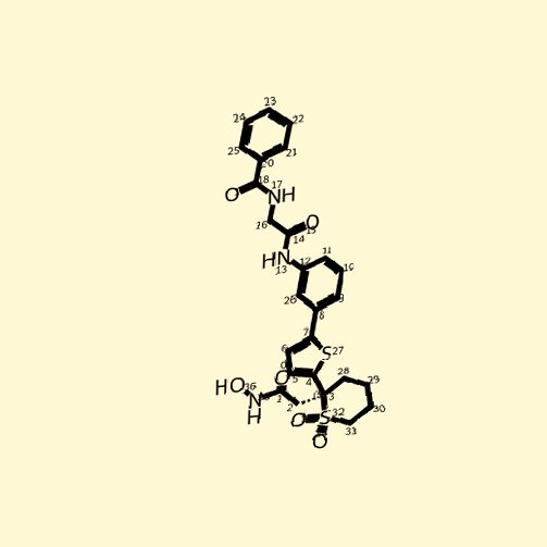 O=C(C[C@]1(c2ccc(-c3cccc(NC(=O)CNC(=O)c4ccccc4)c3)s2)CCCCS1(=O)=O)NO